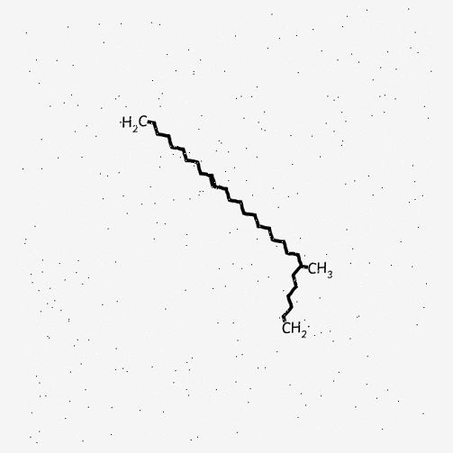 [CH2]CCCCCCCCC=CCCCCCCCCCCCC(C)CCCCC[CH2]